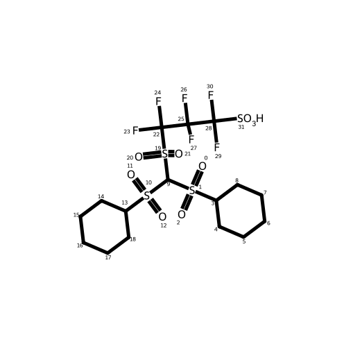 O=S(=O)(C1CCCCC1)C(S(=O)(=O)C1CCCCC1)S(=O)(=O)C(F)(F)C(F)(F)C(F)(F)S(=O)(=O)O